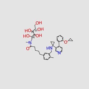 Cc1ccc(CCCCC(=O)N(C)C[C@@H](O)[C@H](O)[C@@H](O)[C@@H](O)CO)cc1CNC1(c2cnccc2-c2ccccc2OC2CC2)CC1